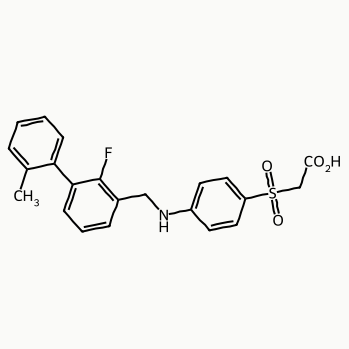 Cc1ccccc1-c1cccc(CNc2ccc(S(=O)(=O)CC(=O)O)cc2)c1F